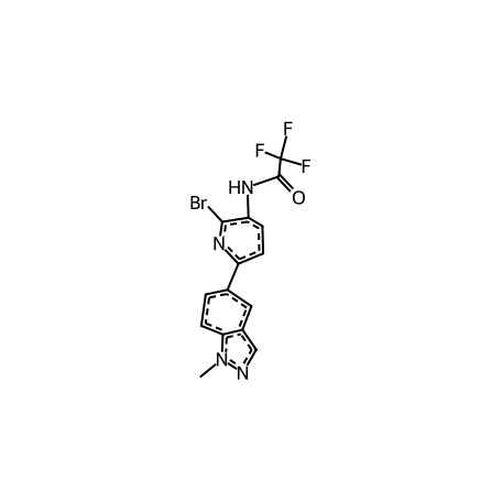 Cn1ncc2cc(-c3ccc(NC(=O)C(F)(F)F)c(Br)n3)ccc21